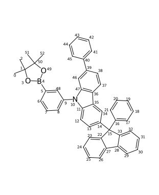 CC1(C)OB(c2cccc(-n3c4ccc(C5(c6ccccc6)c6ccccc6-c6ccccc65)cc4c4ccc(-c5ccccc5)cc43)c2)OC1(C)C